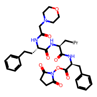 CC(C)C[C@H](NC(=O)[C@H](CCc1ccccc1)NC(=O)CN1CCOCC1)C(=O)N[C@@H](Cc1ccccc1)C(=O)ON1C(=O)CCC1=O